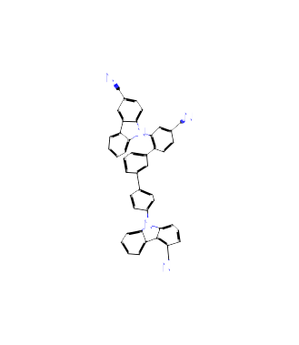 N#Cc1ccc(-c2cccc(-c3ccc(-n4c5ccccc5c5c(C#N)cccc54)cc3)c2)c(-n2c3ccccc3c3cc(C#N)ccc32)c1